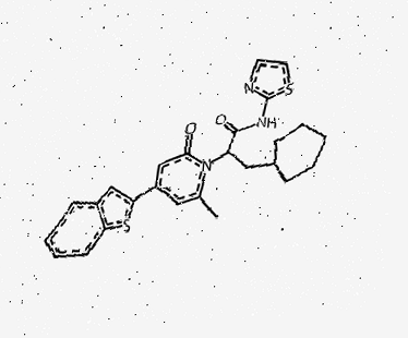 Cc1cc(-c2cc3ccccc3s2)cc(=O)n1C(CC1CCCCC1)C(=O)Nc1nccs1